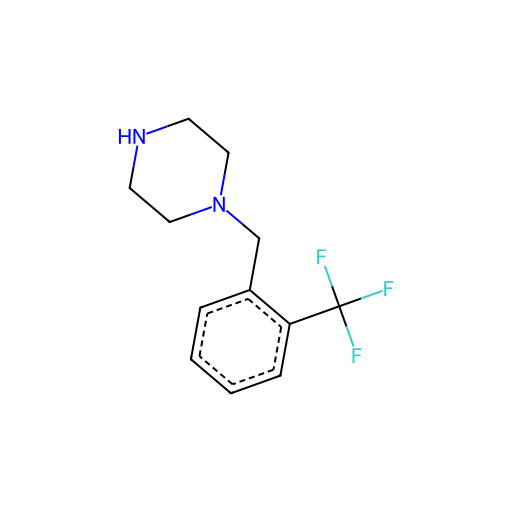 FC(F)(F)c1ccccc1CN1CCNCC1